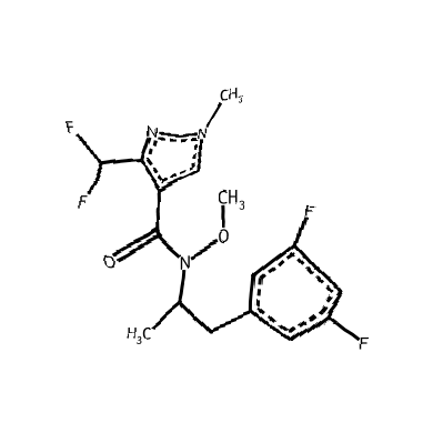 CON(C(=O)c1cn(C)nc1C(F)F)C(C)Cc1cc(F)cc(F)c1